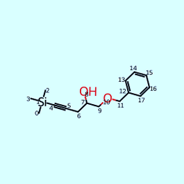 C[Si](C)(C)C#CCC(O)COCc1ccccc1